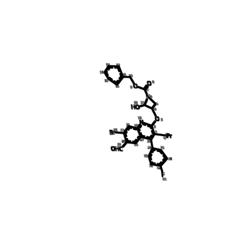 CC(C)c1c(OC2CN(C(=O)OCc3ccccc3)C2O)nc2cc(Br)c(C=O)cc2c1-c1ccc(F)cc1